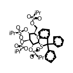 CC(C)S(=O)(=O)OC[C@H]1O[C@@H](SC(c2ccccc2)(c2ccccc2)c2ccccc2)[C@H](OS(=O)(=O)C(C)C)[C@@H](OS(=O)(=O)C(C)C)[C@@H]1OS(=O)(=O)C(C)C